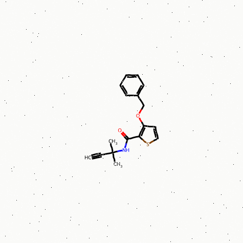 C#CC(C)(C)NC(=O)c1sccc1OCc1ccccc1